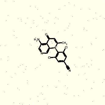 Cc1cc(=O)c2c(N)cncc2n1-c1c(Cl)cc(C#N)cc1Cl